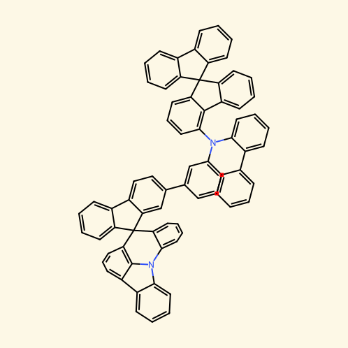 c1ccc(-c2ccccc2N(c2cccc(-c3ccc4c(c3)C3(c5ccccc5-4)c4ccccc4-n4c5ccccc5c5cccc3c54)c2)c2cccc3c2-c2ccccc2C32c3ccccc3-c3ccccc32)cc1